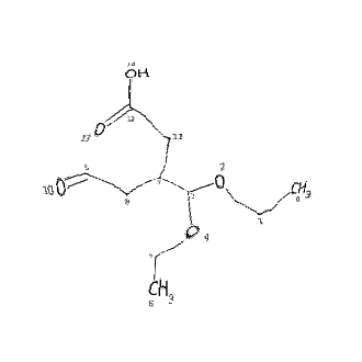 CCOC(OCC)C(CC=O)CC(=O)O